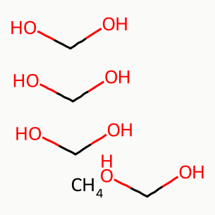 C.OCO.OCO.OCO.OCO